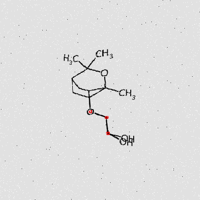 CC1(C)OC2(C)C(OCCO)CC1CC2OCCO